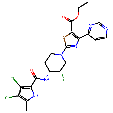 CCOC(=O)c1sc(N2CC[C@@H](NC(=O)c3[nH]c(C)c(Cl)c3Cl)[C@@H](F)C2)nc1-c1ccncn1